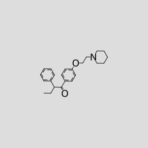 CCC(C(=O)c1ccc(OCCN2CCCCC2)cc1)c1ccccc1